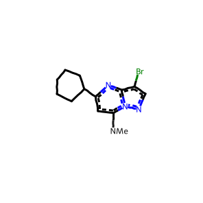 CNc1cc(C2CCCCC2)nc2c(Br)cnn12